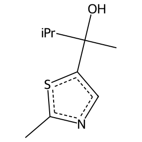 Cc1ncc(C(C)(O)C(C)C)s1